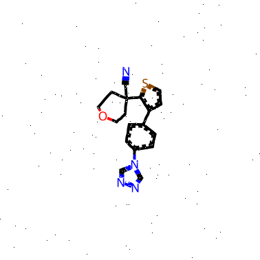 N#CC1(c2sccc2-c2ccc(-n3cnnc3)cc2)CCOCC1